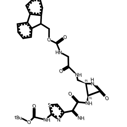 CC(C)(C)OC(=O)Nc1nc(C(=N)C(=O)N[C@@H]2C(=O)N[C@@H]2CNC(=O)CNC(=O)OCC2c3ccccc3-c3ccccc32)cs1